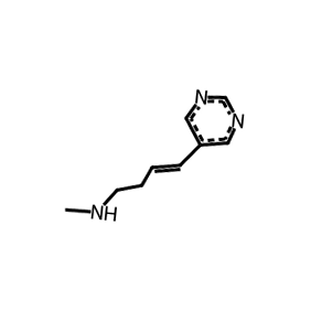 CNCC/C=C/c1cncnc1